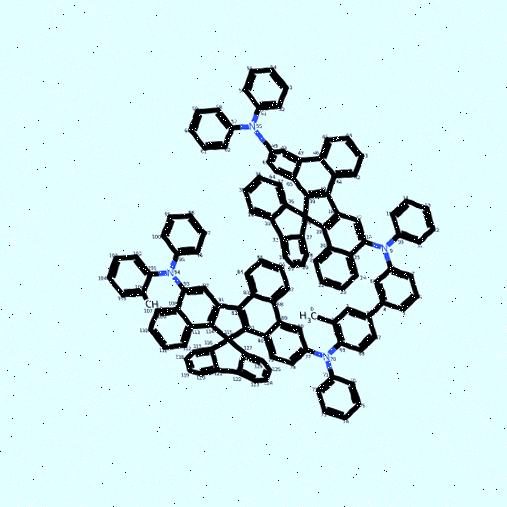 Cc1cc(-c2cccc(N(c3ccccc3)c3cc4c(c5ccccc35)C3(c5ccccc5-c5ccccc53)c3c-4c4ccccc4c4cc(N(c5ccccc5)c5ccccc5)ccc34)c2)ccc1N(c1ccccc1)c1ccc2c3c(c4ccccc4c2c1)-c1cc(N(c2ccccc2)c2ccccc2C)c2ccccc2c1C31c2ccccc2-c2ccccc21